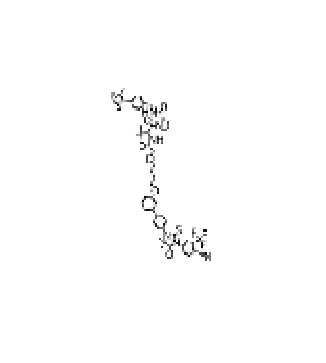 Cc1ncsc1-c1ccc(CNC(=O)[C@@H]2CCCN2C(=O)C(NC(=O)COCCCCOc2cccc(-c3ccc(N4C(=S)N(c5ccc(C#N)c(C(F)(F)F)c5)C(=O)C4(C)C)cc3)c2)C(C)(C)C)cc1